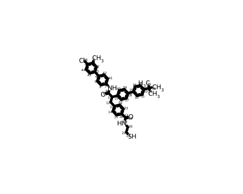 Cc1cc(-c2ccc(NC(=O)C(Cc3ccc(C(=O)NCCS)cc3)c3ccc(-c4ccc(C(C)(C)C)cc4)cc3)cc2)ccc1Cl